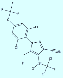 N#Cc1nn(-c2c(Cl)cc(OC(F)(F)F)cc2Cl)c(CF)c1[S+]([O-])C(F)(Cl)Cl